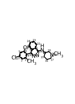 Cc1cc(Cl)cc(O)c1-c1nnc(N[C@@H]2CCCN(C)C2)c2ccccc12